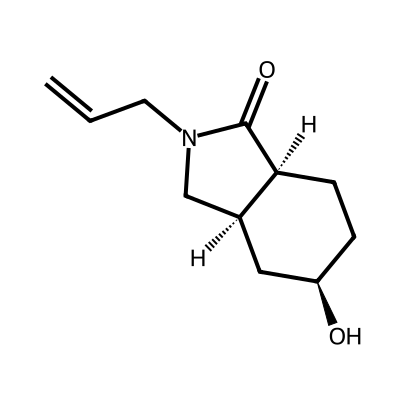 C=CCN1C[C@@H]2C[C@H](O)CC[C@@H]2C1=O